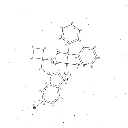 CC(C)(C)[Si](OCC1(Cc2c[nH]c3ccc(Br)cc23)CCC1)(c1ccccc1)c1ccccc1